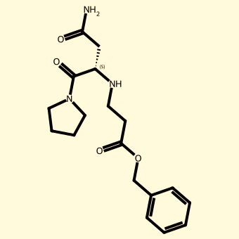 NC(=O)C[C@H](NCCC(=O)OCc1ccccc1)C(=O)N1CCCC1